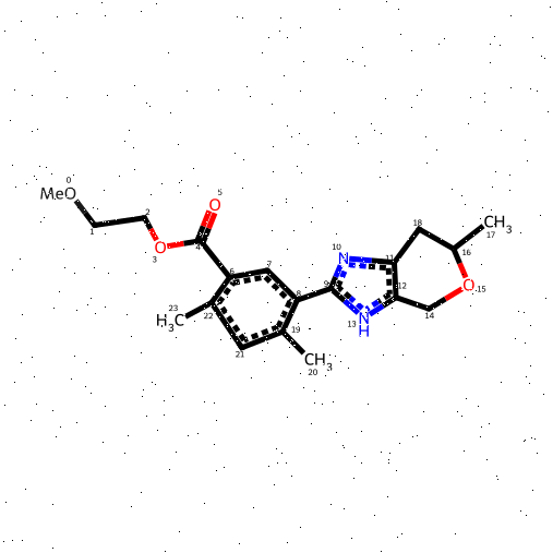 COCCOC(=O)c1cc(-c2nc3c([nH]2)COC(C)C3)c(C)cc1C